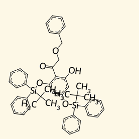 CC(C)(C)[Si](Oc1cc(O)c(C(=O)COCc2ccccc2)c(O[Si](c2ccccc2)(c2ccccc2)C(C)(C)C)c1)(c1ccccc1)c1ccccc1